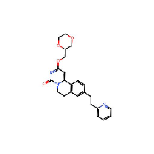 O=c1nc(OCC2COCCO2)cc2n1CCc1cc(CCc3ccccn3)ccc1-2